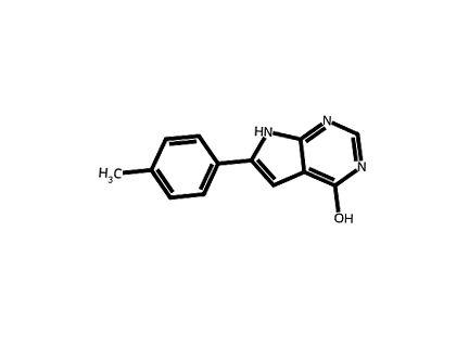 Cc1ccc(-c2cc3c(O)ncnc3[nH]2)cc1